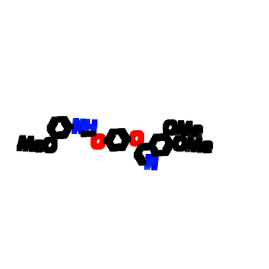 COc1cccc(NCCOc2ccc(Oc3ccnc4cc(OC)c(OC)cc34)cc2)c1